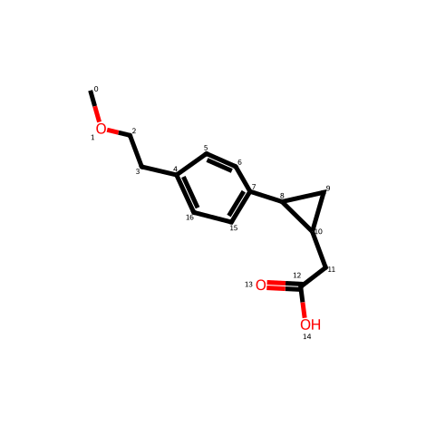 COCCc1ccc(C2CC2CC(=O)O)cc1